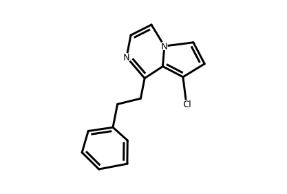 Clc1ccn2ccnc(CCc3ccccc3)c12